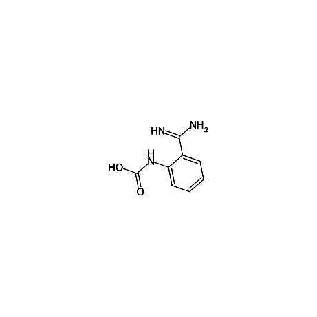 N=C(N)c1ccccc1NC(=O)O